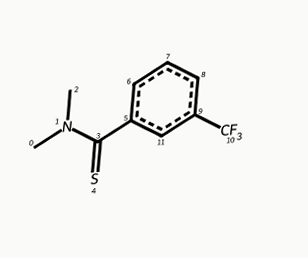 CN(C)C(=S)c1cccc(C(F)(F)F)c1